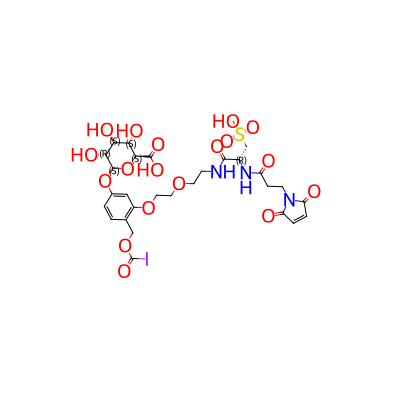 O=C(CCN1C(=O)C=CC1=O)N[C@@H](CS(=O)(=O)O)C(=O)NCCOCCOc1cc(O[C@@H]2O[C@H](C(=O)O)[C@@H](O)[C@H](O)[C@H]2O)ccc1COC(=O)I